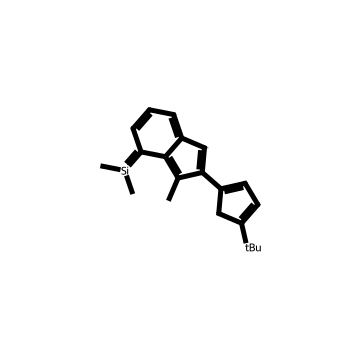 CC1=c2c(cccc2=[Si](C)C)[C]=C1C1=CC=C(C(C)(C)C)C1